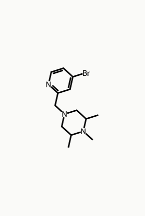 CC1CN(Cc2cc(Br)ccn2)CC(C)N1C